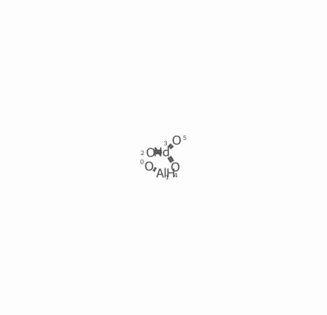 [O]=[AlH].[O]=[Nd](=[O])=[O]